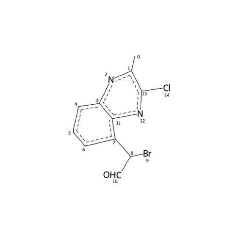 Cc1nc2cccc(C(Br)C=O)c2nc1Cl